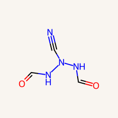 N#CN(NC=O)NC=O